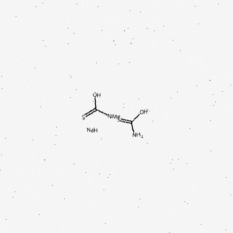 CNC(O)=S.NC(O)=S.[NaH]